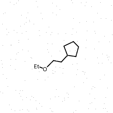 CCOCC[C]1CCCC1